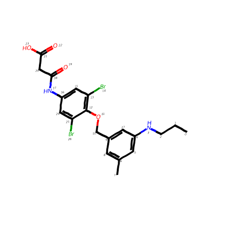 CCCNc1cc(C)cc(COc2c(Br)cc(NC(=O)CC(=O)O)cc2Br)c1